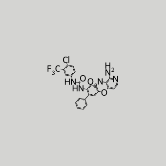 Nc1nccc(Oc2ccc(NC(=O)Nc3ccc(Cl)c(C(F)(F)F)c3)c(-c3ccccc3)c2)c1[N+](=O)[O-]